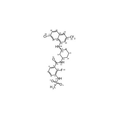 CS(=O)(=O)Nc1cccc(C(=O)NC2CCC[C@H](Nc3cc(C(F)(F)F)nc4ccc(Cl)cc34)C2)c1F